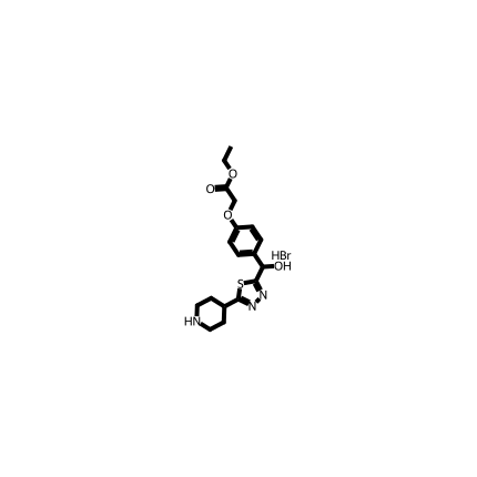 Br.CCOC(=O)COc1ccc(C(O)c2nnc(C3CCNCC3)s2)cc1